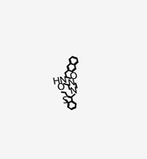 CCc1sc2ccccc2c1CN1CCN2C(=O)C(Cc3ccc4ccccc4c3)NC(=O)C2C1